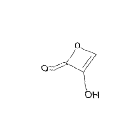 O=C1OC=C1O